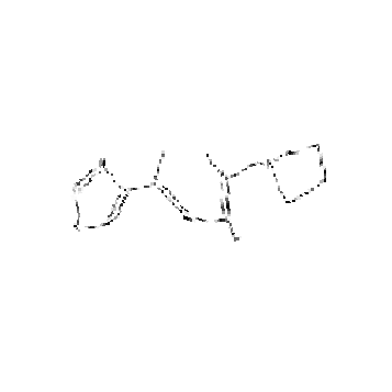 Fc1cc(-c2cs[c]n2)ccc1N1CCCC1